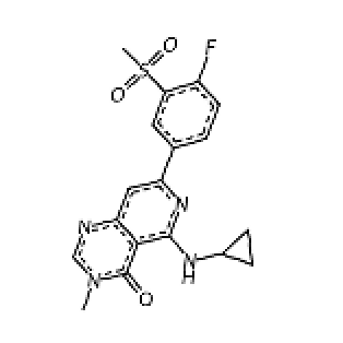 Cn1cnc2cc(-c3ccc(F)c(S(C)(=O)=O)c3)nc(NC3CC3)c2c1=O